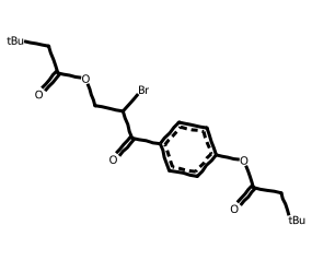 CC(C)(C)CC(=O)OCC(Br)C(=O)c1ccc(OC(=O)CC(C)(C)C)cc1